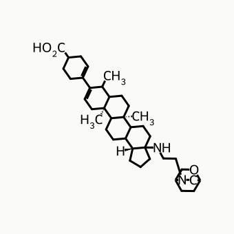 CC1C(C2=CCC(C(=O)O)CC2)=CC[C@@]2(C)C1CC[C@@]1(C)C3CCC4(NCCN5CC6CCC5CO6)CCC[C@@H]4C3CCC21